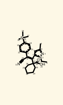 CCn1nc(C)cc1/C(=C(/C#N)c1ccc([Si](C)(C)C)cc1)C1(C(=O)O)CCCCC1